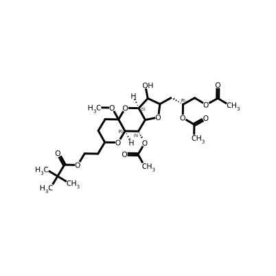 COC12CCC(CCOC(=O)C(C)(C)C)O[C@@H]1[C@@H](OC(C)=O)C1OC(C[C@H](COC(C)=O)OC(C)=O)C(O)[C@@H]1O2